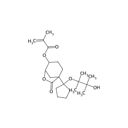 C=C(C)C(=O)OC1CCC2(C3(OC(C)(C)C(C)(C)O)CCCC3)CC1OC2=O